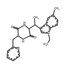 CCn1cc(C(C)C2NC(=O)C(Cc3ccccn3)NC2=O)c2cc(C)ccc21